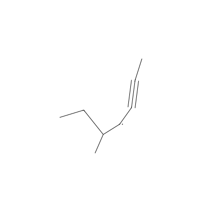 CC#C[CH]C(C)CC